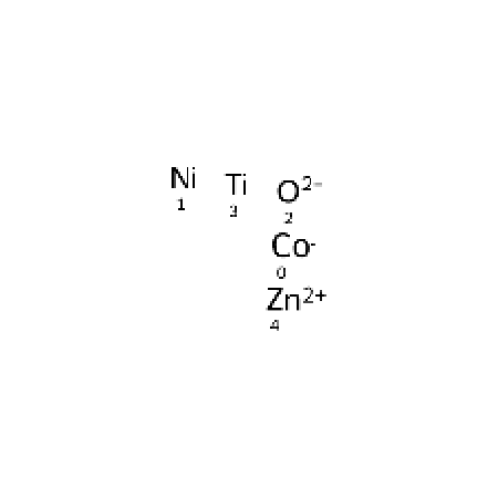 [Co].[Ni].[O-2].[Ti].[Zn+2]